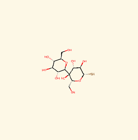 OC[C@H]1O[C@@H]([C@]2(O)[C@H](O)[C@@H](O)[C@H](S)O[C@@H]2CO)[C@H](O)[C@@H](O)[C@@H]1O